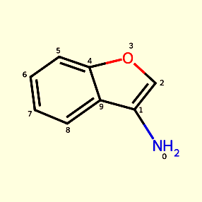 Nc1coc2ccccc12